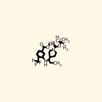 CCC(Nc1cc(C(=O)OC)ccc1C(F)(F)F)C1CCN(C(=O)OC(C)(C)C)CC1